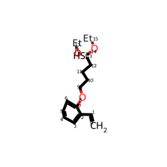 C=Cc1ccccc1OCCCC[SiH](OCC)OCC